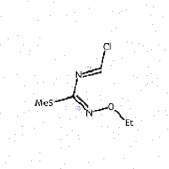 CCO/N=C(\N=C\Cl)SC